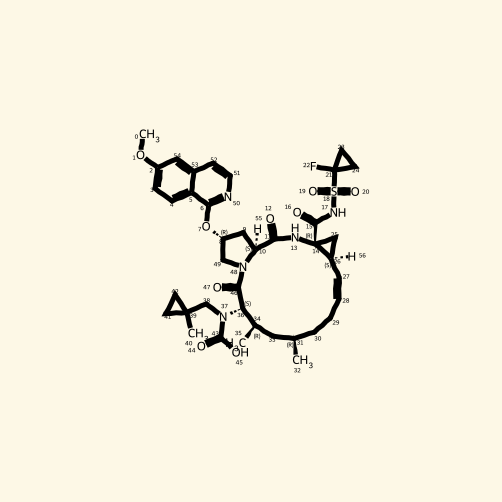 COc1ccc2c(O[C@@H]3C[C@H]4C(=O)N[C@]5(C(=O)NS(=O)(=O)C6(F)CC6)C[C@H]5C=CCC[C@@H](C)C[C@@H](C)[C@H](N(CC5(C)CC5)C(=O)O)C(=O)N4C3)nccc2c1